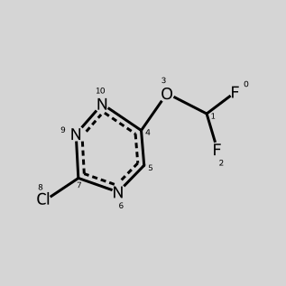 FC(F)Oc1cnc(Cl)nn1